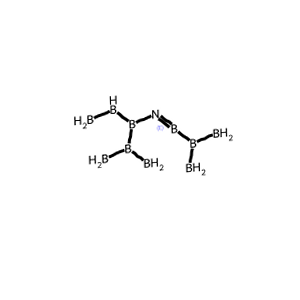 BBB(/N=B/B(B)B)B(B)B